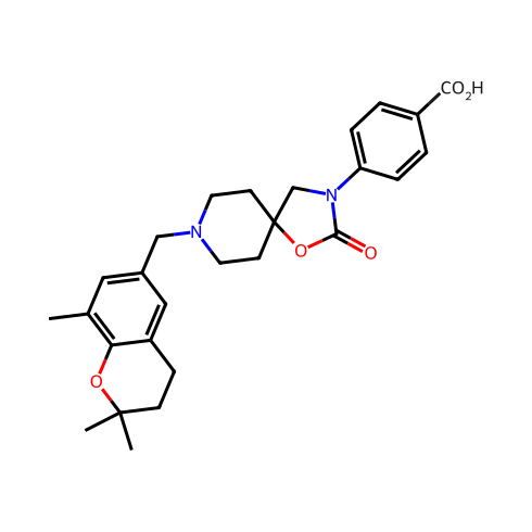 Cc1cc(CN2CCC3(CC2)CN(c2ccc(C(=O)O)cc2)C(=O)O3)cc2c1OC(C)(C)CC2